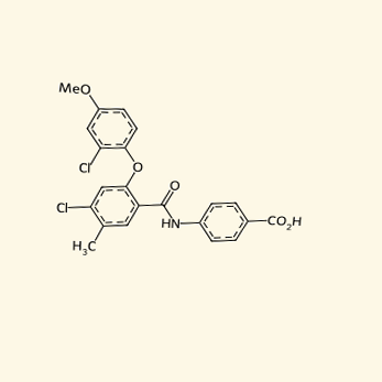 COc1ccc(Oc2cc(Cl)c(C)cc2C(=O)Nc2ccc(C(=O)O)cc2)c(Cl)c1